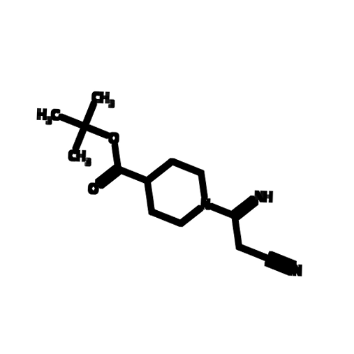 CC(C)(C)OC(=O)C1CCN(C(=N)CC#N)CC1